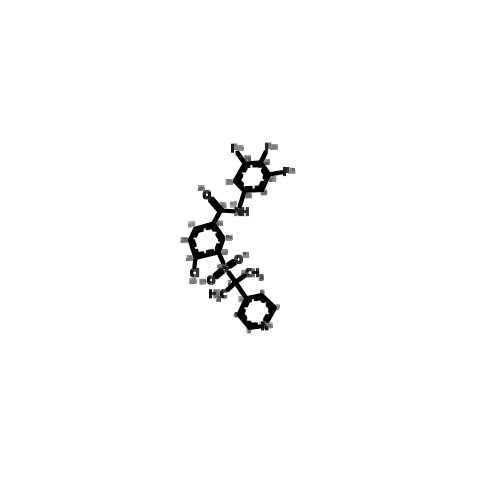 CC(C)(c1ccncc1)S(=O)(=O)c1cc(C(=O)Nc2cc(F)c(F)c(F)c2)ccc1Cl